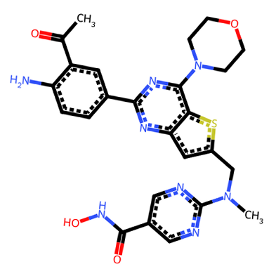 CC(=O)c1cc(-c2nc(N3CCOCC3)c3sc(CN(C)c4ncc(C(=O)NO)cn4)cc3n2)ccc1N